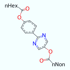 CCCCCCCCCC(=O)Oc1cnc(-c2ccc(OC(=O)CCCCCC)cc2)nc1